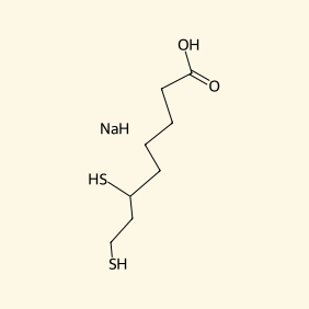 O=C(O)CCCCC(S)CCS.[NaH]